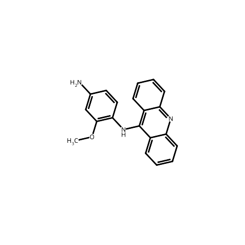 COc1cc(N)ccc1Nc1c2ccccc2nc2ccccc12